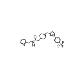 O=C(CC1CCN(Cc2ccn(-c3ccc(C(F)(F)F)cc3)c2)CC1)NCCc1ccccn1